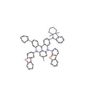 Cc1cc2c3c(c1)N(c1cccc4c1oc1ccccc14)c1cc(N4c5ccccc5C5(C)CCCCC45C)ccc1B3c1ccc(-c3ccccc3)cc1N2c1ccc2oc3ccccc3c2c1